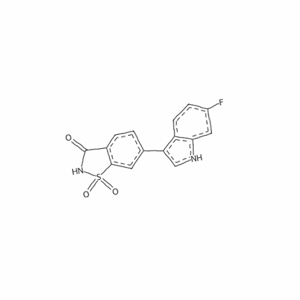 O=C1NS(=O)(=O)c2cc(-c3c[nH]c4cc(F)ccc34)ccc21